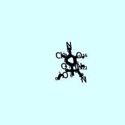 CCOC(=O)C(C)(c1cc(Cl)c(C#N)c(OC)c1)C(C#N)NC